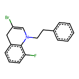 Fc1cccc2c1N(CCc1ccccc1)C=C(Br)C2